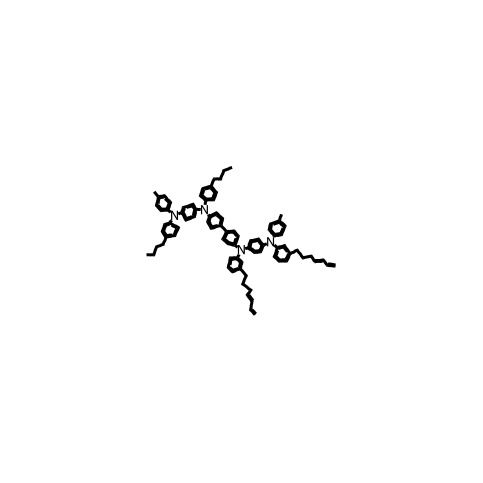 C=C/C=C/CCCc1cccc(N(c2ccc(C)cc2)c2ccc(N(c3ccc(-c4ccc(N(c5ccc(CCCC)cc5)c5ccc(N(c6ccc(C)cc6)c6ccc(CCCC)cc6)cc5)cc4)cc3)c3cccc(CCC/C=C/C=C)c3)cc2)c1